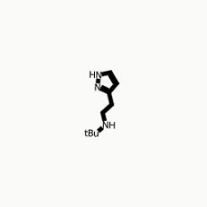 CC(C)(C)NCCc1cc[nH]n1